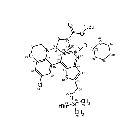 CC(C)(C)OC(=O)N1C[C@@H](N2CCOc3cc(Cl)cc(-c4ccnc5cc(CO[Si](C)(C)C(C)(C)C)sc45)c32)C[C@H]1CO[C@H]1CCCCO1